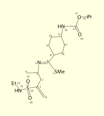 C=C(CC(C)/N=C(\SC)C1CCC(NC(=O)OC(C)C)CC1)S(=O)(=O)NCC